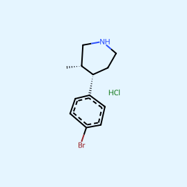 C[C@@H]1CNCC[C@@H]1c1ccc(Br)cc1.Cl